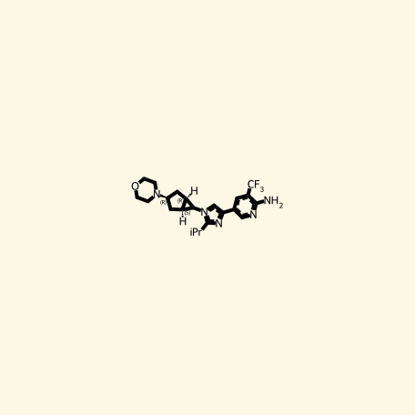 CC(C)c1nc(-c2cnc(N)c(C(F)(F)F)c2)cn1C1[C@H]2C[C@@H](N3CCOCC3)C[C@@H]12